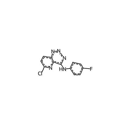 Fc1ccc(Nc2nnnc3ccc(Cl)nc23)cc1